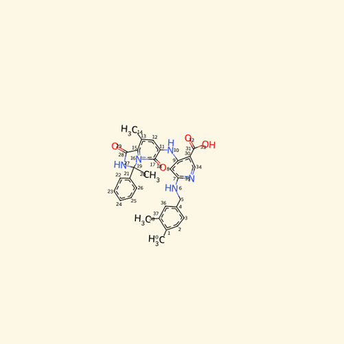 Cc1ccc(CNc2cc(Nc3cc(C)c4n(c3=O)C(C)(c3ccccc3)NC4=O)c(C(=O)O)cn2)cc1C